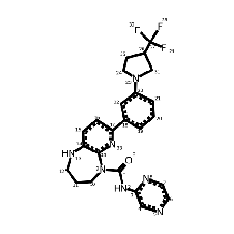 O=C(Nc1cnccn1)N1CCCNc2ccc(-c3cccc(N4CCC(C(F)(F)F)C4)c3)nc21